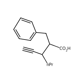 C#CC(CCC)C(Cc1ccccc1)C(=O)O